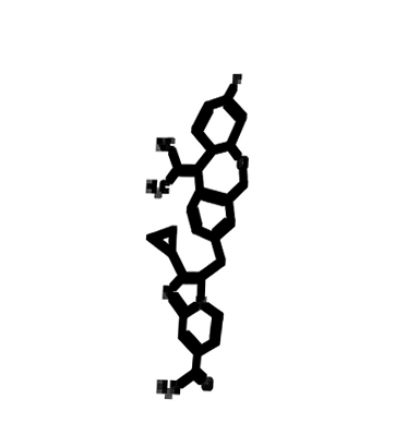 C/C(C#N)=C1\c2ccc(Cc3c(C4CC4)nc4cc(C(N)=O)ccn34)cc2COC2C=C(F)C=CC12